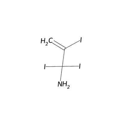 C=C(I)C(N)(I)I